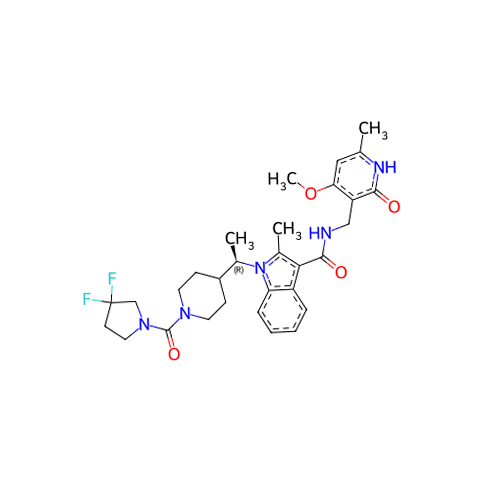 COc1cc(C)[nH]c(=O)c1CNC(=O)c1c(C)n([C@H](C)C2CCN(C(=O)N3CCC(F)(F)C3)CC2)c2ccccc12